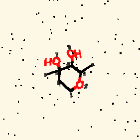 CC1OCCC(C)(O)C1O